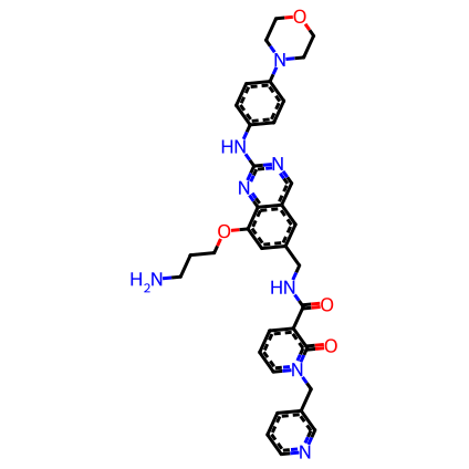 NCCCOc1cc(CNC(=O)c2cccn(Cc3cccnc3)c2=O)cc2cnc(Nc3ccc(N4CCOCC4)cc3)nc12